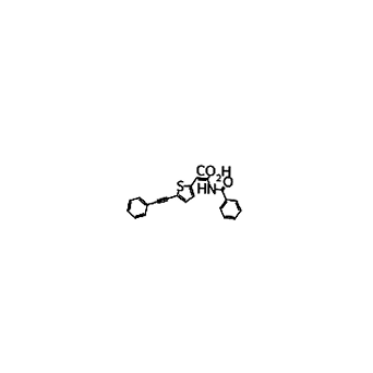 O=C(O)C(=Cc1ccc(C#Cc2ccccc2)s1)NC(=O)c1ccccc1